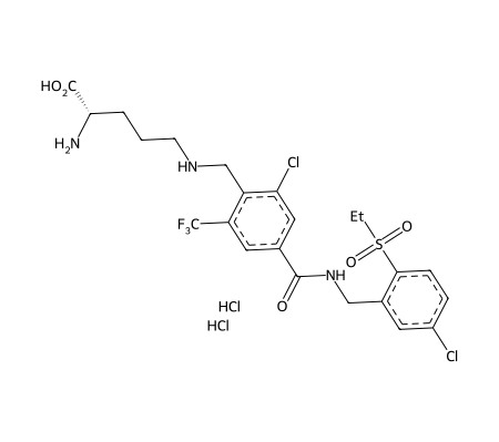 CCS(=O)(=O)c1ccc(Cl)cc1CNC(=O)c1cc(Cl)c(CNCCC[C@H](N)C(=O)O)c(C(F)(F)F)c1.Cl.Cl